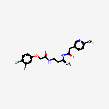 C=C(CCNC(=O)COc1ccc(Cl)c(F)c1)NC(=O)Cc1ccc(C)nc1